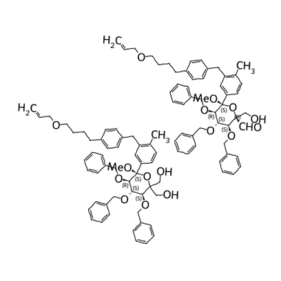 C=CCOCCCCc1ccc(Cc2cc([C@]3(OC)OC(CO)(CO)[C@@H](OCc4ccccc4)[C@H](OCc4ccccc4)[C@H]3OCc3ccccc3)ccc2C)cc1.C=CCOCCCCc1ccc(Cc2cc([C@]3(OC)O[C@](C=O)(CO)[C@@H](OCc4ccccc4)[C@H](OCc4ccccc4)[C@H]3OCc3ccccc3)ccc2C)cc1